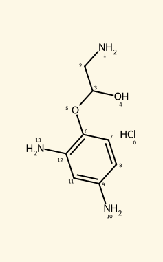 Cl.NCC(O)Oc1ccc(N)cc1N